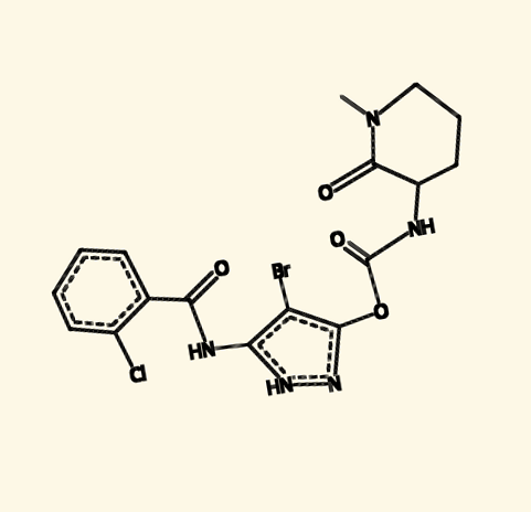 CN1CCCC(NC(=O)Oc2n[nH]c(NC(=O)c3ccccc3Cl)c2Br)C1=O